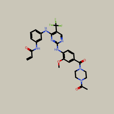 C=CC(=O)Nc1cccc(Nc2nc(Nc3ccc(C(=O)N4CCN(C(C)=O)CC4)cc3OC)ncc2C(F)(F)F)c1